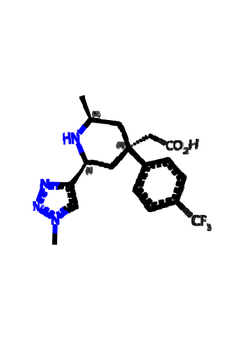 C[C@H]1C[C@@](CC(=O)O)(c2ccc(C(F)(F)F)cc2)C[C@@H](c2cn(C)nn2)N1